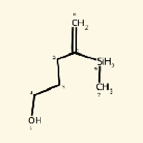 C=C(CCCO)[SiH2]C